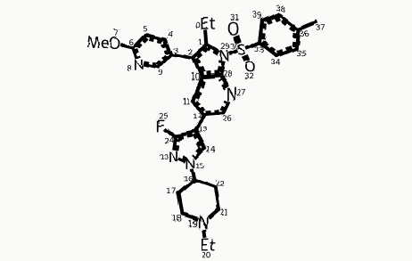 CCc1c(-c2ccc(OC)nc2)c2cc(-c3cn(C4CCN(CC)CC4)nc3F)cnc2n1S(=O)(=O)c1ccc(C)cc1